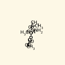 CCCN(CCC)C(=O)C1=Cc2c(cc(-c3ccc4c(=O)n(CCS(C)(=O)=O)ccc4c3)cc2OC)N=C(N)C1